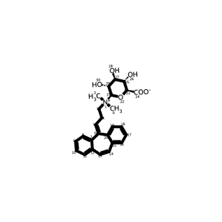 C[N+](C)(CCC=C1c2ccccc2C=Cc2ccccc21)[C@@H]1O[C@H](C(=O)[O-])[C@@H](O)[C@H](O)[C@H]1O